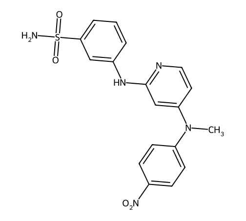 CN(c1ccc([N+](=O)[O-])cc1)c1ccnc(Nc2cccc(S(N)(=O)=O)c2)c1